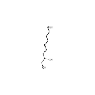 CCCCCCCCCCCC(O)CO